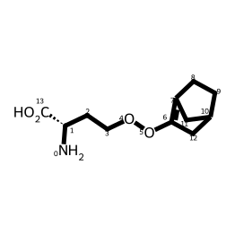 N[C@@H](CCOOC1=C2CCC(C2)C1)C(=O)O